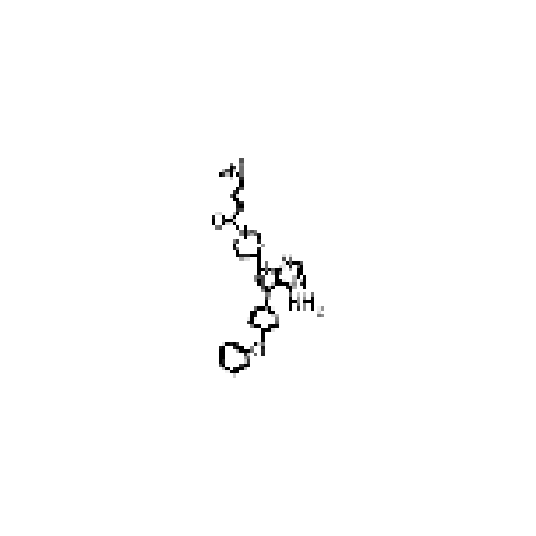 CN(C)CC=CC(=O)N1CCC(n2nc(-c3ccc(Oc4ccccc4)cc3)c3c(N)ncnc32)CC1